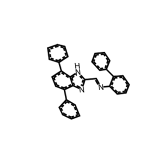 C(=N\c1ccccc1-c1ccccc1)/c1nc2c(-c3ccccc3)ccc(-c3ccccc3)c2[nH]1